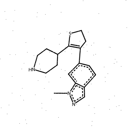 Cn1ncc2ccc(C3=C(C4CCNCC4)SCC3)cc21